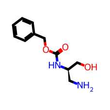 NC[C@H](CO)NC(=O)OCc1ccccc1